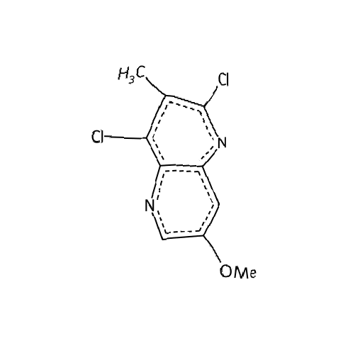 COc1cnc2c(Cl)c(C)c(Cl)nc2c1